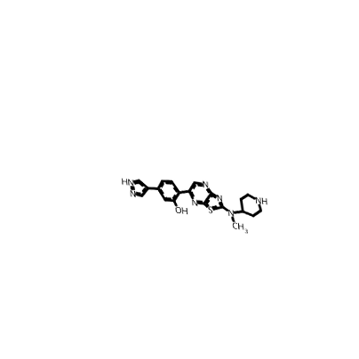 CN(c1nc2ncc(-c3ccc(-c4cn[nH]c4)cc3O)nc2s1)C1CCNCC1